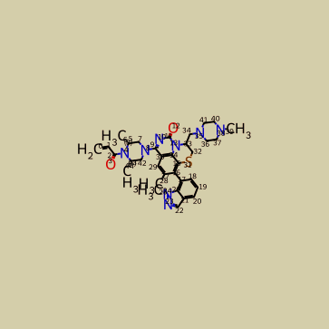 C=CC(=O)N1[C@H](C)CN(c2nc(=O)n3c4c(c(-c5cccc6cnn(C)c56)c(C)cc24)SCC3CN2CCN(C)CC2)C[C@@H]1C